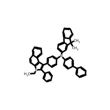 CCn1c(-c2ccccc2)c(-c2ccc(N(c3ccc(-c4ccccc4)cc3)c3ccc4c(c3)C(C)(C)c3ccccc3-4)cc2)c2c3ccccc3ccc21